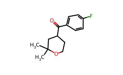 CC1(C)CC(C(=O)c2ccc(F)cc2)CCO1